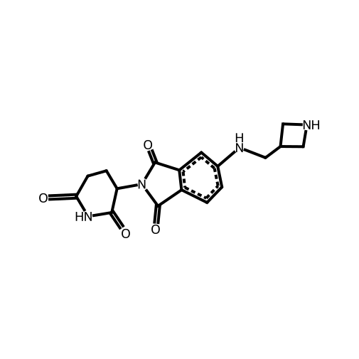 O=C1CCC(N2C(=O)c3ccc(NCC4CNC4)cc3C2=O)C(=O)N1